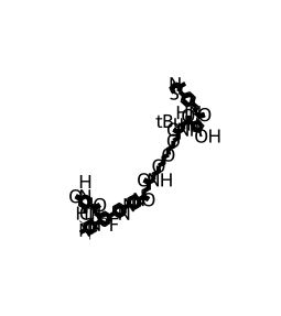 Cc1ncsc1-c1ccc(CNC(=O)[C@@H]2C[C@@H](O)CN2C(=O)[C@@H](NC(=O)COCCOCCOCCNC(=O)CCC(=O)N2CCN(c3ccc(-c4cc(NC(=O)c5c[nH]c(=O)cc5C(F)(F)F)c(N5C[C@@H](C)N(C)[C@@H](C)C5)cc4F)cn3)CC2)C(C)(C)C)cc1